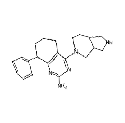 Nc1nc2c(c(N3CCC4CNCC4C3)n1)CCCC2c1ccccc1